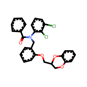 O=C(c1ccccc1)N(Cc1ccccc1OCC1COc2ccccc2O1)c1cccc(Cl)c1Cl